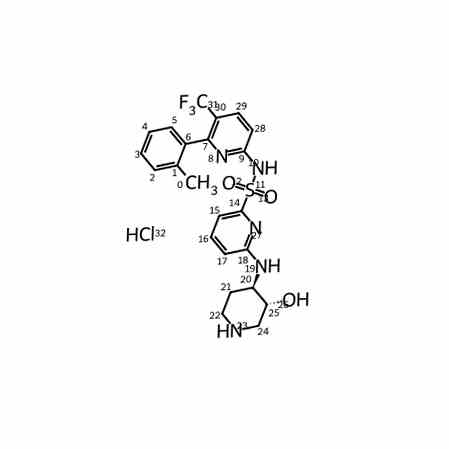 Cc1ccccc1-c1nc(NS(=O)(=O)c2cccc(N[C@@H]3CCNC[C@H]3O)n2)ccc1C(F)(F)F.Cl